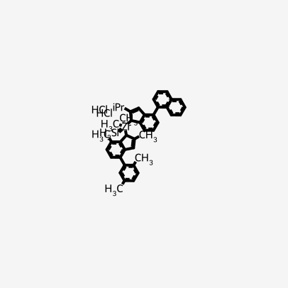 CC1=Cc2c(-c3cc(C)ccc3C)ccc(C)c2[CH]1[Zr]([CH3])([CH3])(=[SiH2])[CH]1C(C(C)C)=Cc2c(-c3cccc4ccccc34)cccc21.Cl.Cl